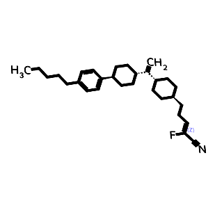 C=C([C@H]1CC[C@H](CC/C=C(\F)C#N)CC1)[C@H]1CC[C@H](c2ccc(CCCCC)cc2)CC1